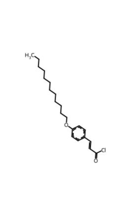 CCCCCCCCCCCCOc1ccc(C=CC(=O)Cl)cc1